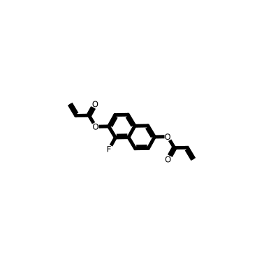 C=CC(=O)Oc1ccc2c(F)c(OC(=O)C=C)ccc2c1